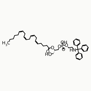 CCCCC/C=C\C/C=C\C/C=C\C/C=C\CCCC(=O)O[C@@H](CO)COP(=O)(O)OCCNC(c1ccccc1)(c1ccccc1)c1ccccc1